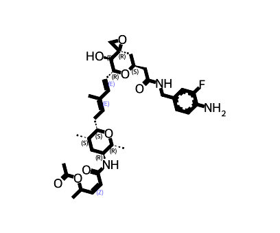 CC(=O)OC(C)/C=C\C(=O)N[C@@H]1C[C@H](C)[C@H](C/C=C(C)/C=C/[C@H]2O[C@H](CC(=O)NCc3ccc(N)c(F)c3)C[C@@]3(CO3)[C@@H]2O)O[C@@H]1C